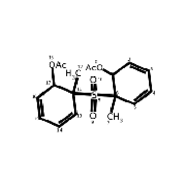 CC(=O)OC1C=CC=CC1(C)S(=O)(=O)C1(C)C=CC=CC1OC(C)=O